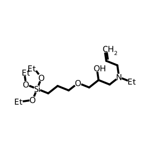 C=CCN(CC)CC(O)COCCC[Si](OCC)(OCC)OCC